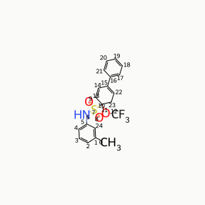 Cc1cccc(NS(=O)(=O)C2(OC(F)(F)F)C=CC(c3ccccc3)=CC2)c1